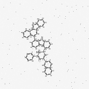 c1ccc(C2=NC(c3ccc4ccccc4c3)=NC(c3cccc4oc5c(-c6cc7c8ccccc8oc7c7ccccc67)cccc5c34)N2)cc1